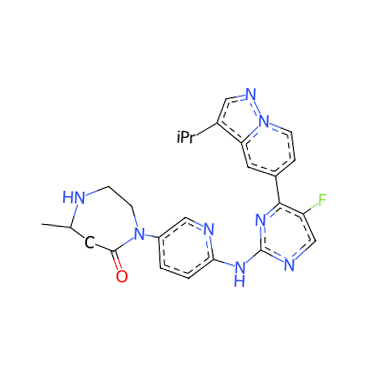 CC1CC(=O)N(c2ccc(Nc3ncc(F)c(-c4ccn5ncc(C(C)C)c5c4)n3)nc2)CCN1